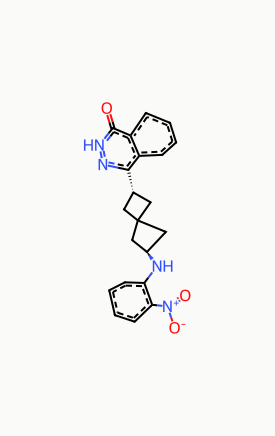 O=c1[nH]nc([C@H]2CC3(C[C@H](Nc4ccccc4[N+](=O)[O-])C3)C2)c2ccccc12